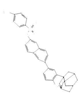 COc1ccc(-c2ccc3cc(OS(=O)(=O)c4ccc(C)cc4)ccc3c2)cc1C12CC3CC(CC(C3)C1)C2